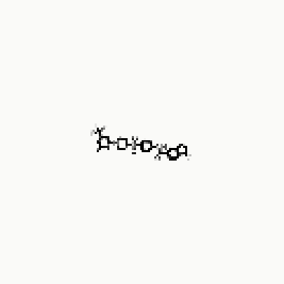 O=C(Nc1ccc(S(=O)(=O)N2CCN(c3cc(C(F)(F)F)cc(Cl)n3)CC2)cc1)c1ccc2c(c1)CCC2=O